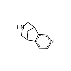 c1cc2c(cn1)C1CNCC2C1